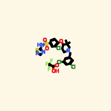 CC1(C)CN(Cc2cc(Cl)cc(Cl)c2)CCC1Oc1ccc(S(=O)(=O)Nc2ncns2)cc1Cl.O=C(O)C(F)(F)F